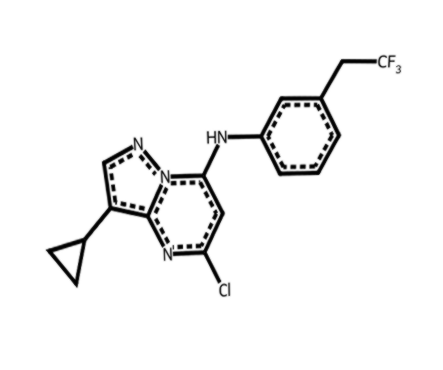 FC(F)(F)Cc1cccc(Nc2cc(Cl)nc3c(C4CC4)cnn23)c1